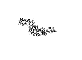 Cc1cc(Nc2ncnc3cc4c(nc23)N2CCN(C(=O)/C=C/C3(F)CN(C)C3)[C@H](CO4)C2)ccc1Oc1ccn2ncnc2c1